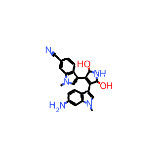 Cn1cc(C2=C(c3cn(C)c4cc(C#N)ccc34)C(O)NC2O)c2ccc(N)cc21